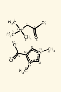 C[N+](C)(C)CC(=O)[O-].Cn1c[n+](C)cc1C(=O)[O-]